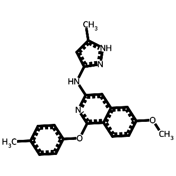 COc1ccc2c(Oc3ccc(C)cc3)nc(Nc3cc(C)[nH]n3)cc2c1